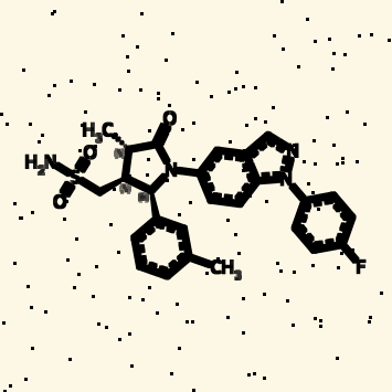 Cc1cccc([C@H]2[C@@H](CS(N)(=O)=O)[C@H](C)C(=O)N2c2ccc3c(cnn3-c3ccc(F)cc3)c2)c1